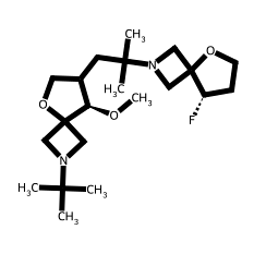 CO[C@@H]1C(CC(C)(C)N2CC3(C2)OCC[C@@H]3F)COC12CN(C(C)(C)C)C2